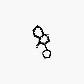 O=c1c(C2CCCO2)coc2ccccc12